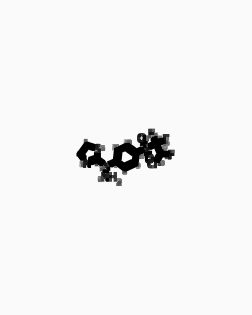 NN(C1=NCCS1)c1ccc(S(=O)(=O)C(F)(F)C(F)Cl)cc1